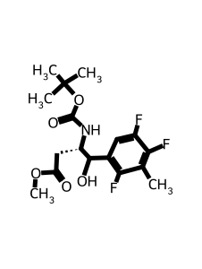 COC(=O)C[C@H](NC(=O)OC(C)(C)C)C(O)c1cc(F)c(F)c(C)c1F